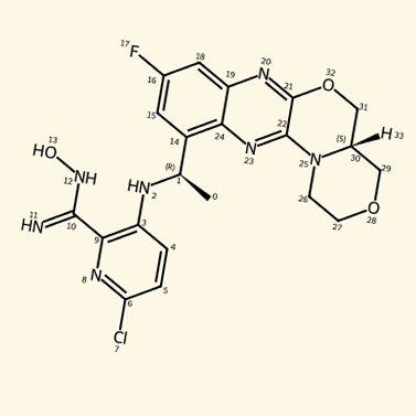 C[C@@H](Nc1ccc(Cl)nc1C(=N)NO)c1cc(F)cc2nc3c(nc12)N1CCOC[C@H]1CO3